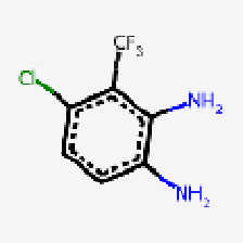 Nc1ccc(Cl)c(C(F)(F)F)c1N